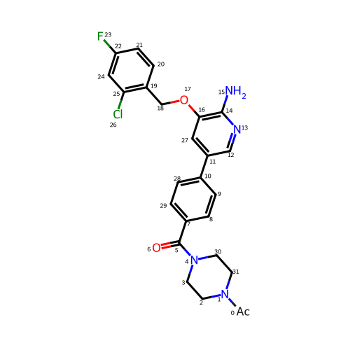 CC(=O)N1CCN(C(=O)c2ccc(-c3cnc(N)c(OCc4ccc(F)cc4Cl)c3)cc2)CC1